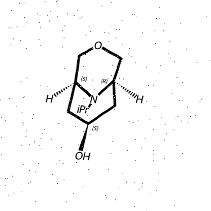 CC(C)N1[C@@H]2COC[C@H]1C[C@@H](O)C2